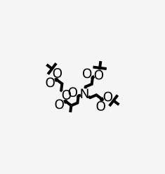 CC(CC(=O)N(CCC(=O)OC(C)(C)C)CCC(=O)OC(C)(C)C)C(=O)OCCC(=O)OC(C)(C)C